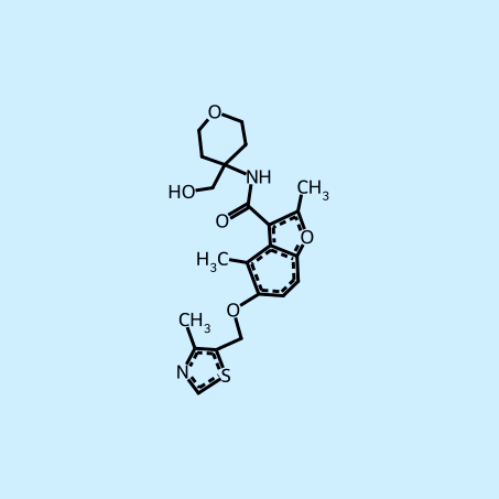 Cc1ncsc1COc1ccc2oc(C)c(C(=O)NC3(CO)CCOCC3)c2c1C